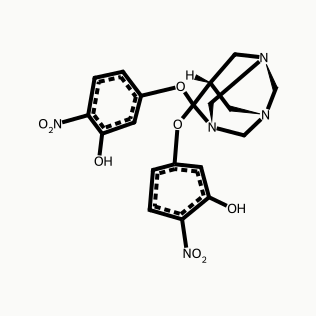 O=[N+]([O-])c1ccc(OC2(Oc3ccc([N+](=O)[O-])c(O)c3)[C@H]3C[N@]4C[N@](C3)C[N@]2C4)cc1O